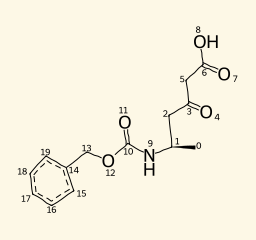 C[C@H](CC(=O)CC(=O)O)NC(=O)OCc1ccccc1